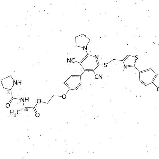 C[C@H](NC(=O)[C@@H]1CCCN1)C(=O)OCCOc1ccc(-c2c(C#N)c(SCc3csc(-c4ccc(Cl)cc4)n3)nc(N3CCCC3)c2C#N)cc1